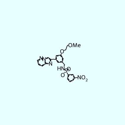 COCCOc1cc(CNS(=O)(=O)c2cccc([N+](=O)[O-])c2)cc(-c2cn3ncccc3n2)c1